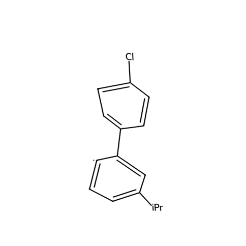 CC(C)c1cc[c]c(-c2ccc(Cl)cc2)c1